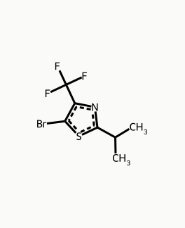 CC(C)c1nc(C(F)(F)F)c(Br)s1